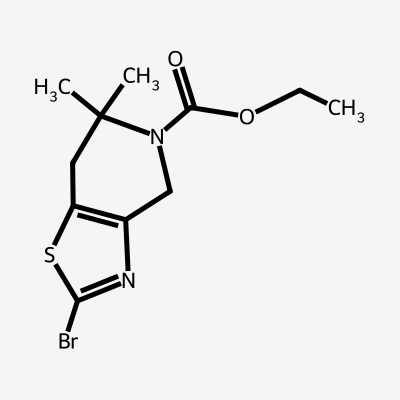 CCOC(=O)N1Cc2nc(Br)sc2CC1(C)C